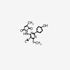 [C-]#[N+]c1c(NN2C(=O)C=C(C)C2=O)nc(-c2ccc(O)cc2)nc1SC